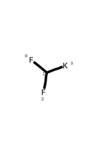 F[CH](F)[K]